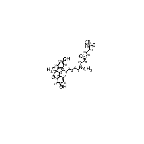 CN(CCCCCCC1c2ccc(O)cc2OCC1(C)c1ccc(O)cc1)CC[S+]([O-])CCCC(F)(F)C(F)(F)F